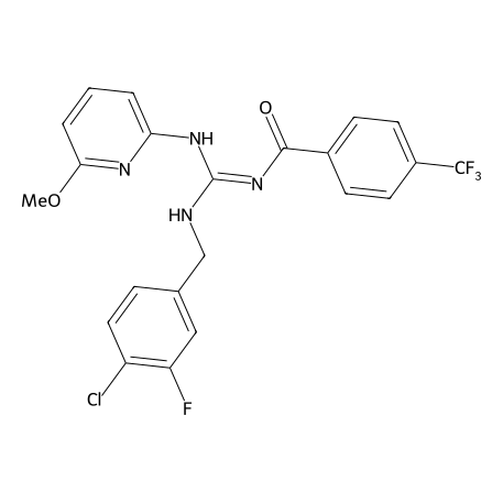 COc1cccc(N/C(=N\C(=O)c2ccc(C(F)(F)F)cc2)NCc2ccc(Cl)c(F)c2)n1